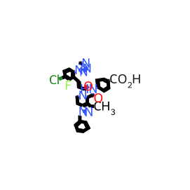 Cc1nn(Cc2ccccc2)c2c1C(C(=O)Nc1ccc(C(=O)O)cc1)N(C(=O)C=Cc1c(-n3cnnn3)ccc(Cl)c1F)CC2